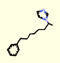 CC(CCCCCCc1ccccc1)n1ccnc1